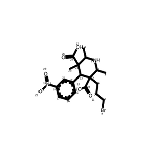 CC1NC(C)C(CCCBr)(C(=O)O)C(c2cccc([N+](=O)[O-])c2)C1(C)C(=O)O